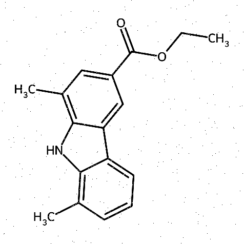 CCOC(=O)c1cc(C)c2[nH]c3c(C)cccc3c2c1